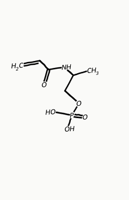 C=CC(=O)NC(C)COP(=O)(O)O